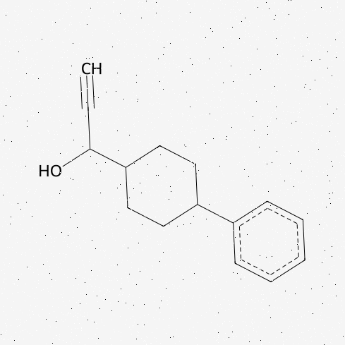 C#CC(O)C1CCC(c2ccccc2)CC1